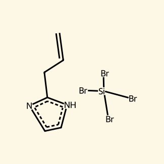 Br[Si](Br)(Br)Br.C=CCc1ncc[nH]1